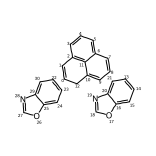 C1=Cc2cccc3cccc(c23)C1.c1ccc2ocnc2c1.c1ccc2ocnc2c1